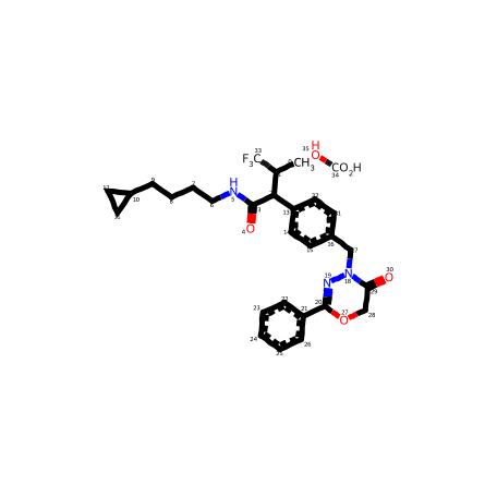 CC(C(C(=O)NCCCCC1CC1)c1ccc(CN2N=C(c3ccccc3)OCC2=O)cc1)C(F)(F)F.O=C(O)O